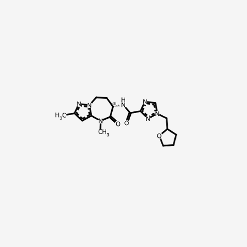 Cc1cc2n(n1)CC[C@H](NC(=O)c1ncn(CC3CCCO3)n1)C(=O)N2C